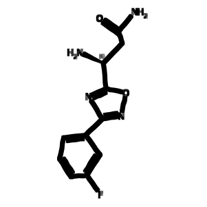 NC(=O)C[C@H](N)c1nc(-c2cccc(F)c2)no1